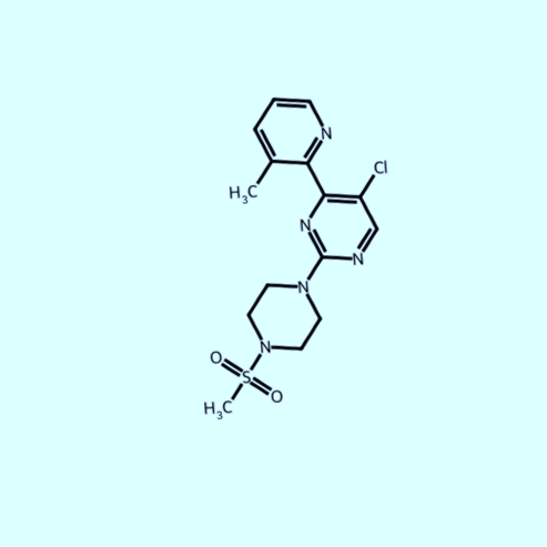 Cc1cccnc1-c1nc(N2CCN(S(C)(=O)=O)CC2)ncc1Cl